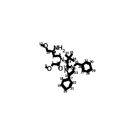 COCC(=O)N(CC[C@H](N)COC)[C@@H](c1nc(-c2ccccc2)cn1Cc1ccccc1)C(C)(C)C